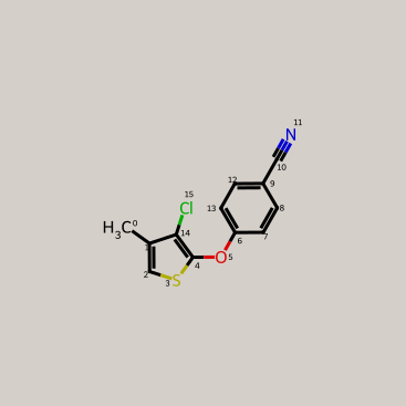 Cc1csc(Oc2ccc(C#N)cc2)c1Cl